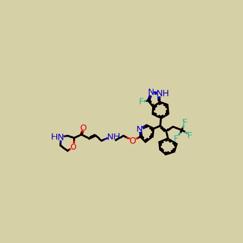 O=C(/C=C/CNCCOc1ccc(/C(=C(/CC(F)(F)F)c2ccccc2)c2ccc3[nH]nc(F)c3c2)cn1)C1CNCCO1